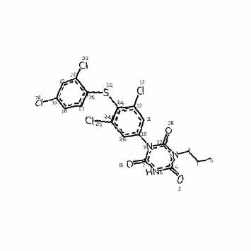 CCCn1c(=O)[nH]c(=O)n(-c2cc(Cl)c(Sc3ccc(Cl)cc3Cl)c(Cl)c2)c1=O